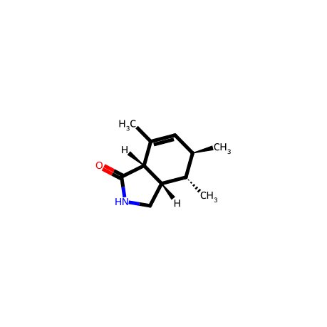 CC1=C[C@@H](C)[C@H](C)[C@@H]2CNC(=O)[C@H]12